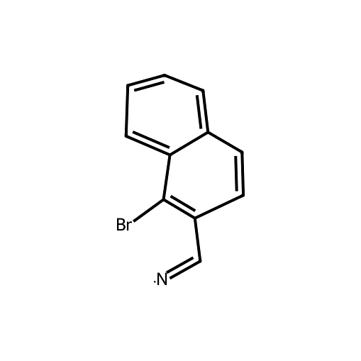 [N]=Cc1ccc2ccccc2c1Br